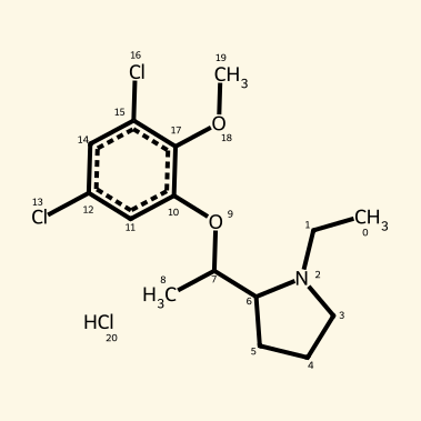 CCN1CCCC1C(C)Oc1cc(Cl)cc(Cl)c1OC.Cl